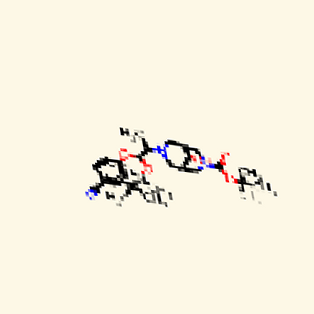 CC(C(Oc1ccc(C#N)cc1)O[Si](C)(C)C(C)(C)C)N1CC2CN(C(=O)OC(C)(C)C)CC(C1)C2O